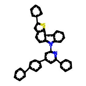 c1ccc(-c2ccc(-c3cc(-c4ccccc4)nc(-n4c5ccccc5c5c6sc(-c7ccccc7)cc6ccc54)c3)cc2)cc1